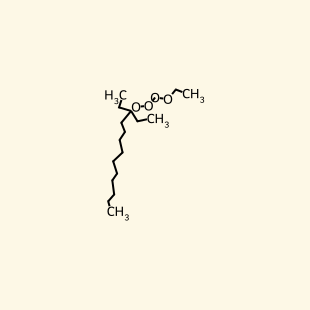 CCCCCCCCCCC(CC)(CC)OOOOCC